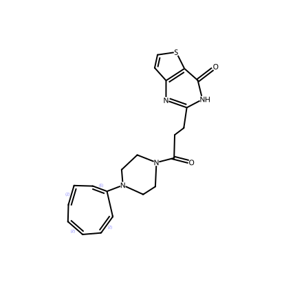 O=C(CCc1nc2ccsc2c(=O)[nH]1)N1CCN(C2=C/C=C\C=C/C=C\2)CC1